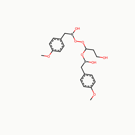 COc1ccc(CB(O)OOC(CCO)OB(O)Cc2ccc(OC)cc2)cc1